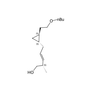 CCCCOCC[C@@H]1C[C@H]1CC=C[C@H](C)CO